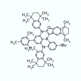 Cc1cc(C)c(-c2cc3c4c(c2)N(c2ccc5c(c2)C(C)(C)CCC5(C)C)c2oc5cc6c(cc5c2B4c2cc(C(C)(C)C)ccc2N3c2cc3c(cc2C)C(C)(C)CCC3(C)C)C2(C)CCC6(C)CC2)c(C)c1